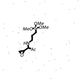 CO[Si](CCCNC(C(C)=O)C1CO1)(OC)OC